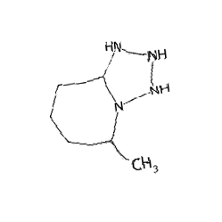 CC1CCCC2NNNN12